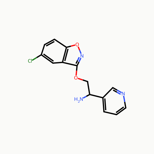 NC(COc1noc2ccc(Cl)cc12)c1cccnc1